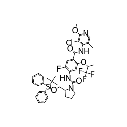 COc1ncc(C)c(NC(=O)c2cc(F)c(NC(=O)N3CCCC3CO[Si](c3ccccc3)(c3ccccc3)C(C)(C)C)cc2OC(C)C(F)(F)F)c1Cl